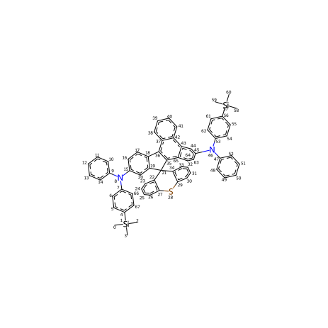 C[Si](C)(C)c1ccc(N(c2ccccc2)c2ccc3c(c2)C2(c4ccccc4Sc4ccccc42)c2c-3c3ccccc3c3cc(N(c4ccccc4)c4ccc([Si](C)(C)C)cc4)ccc23)cc1